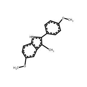 COc1ccc(-c2[nH]c3ccc(OC)cc3c2C)cc1